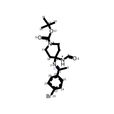 C/C(=N\C1(NC=O)CCN(C(=O)OC(C)(C)C)CC1)c1ccc(Br)cc1